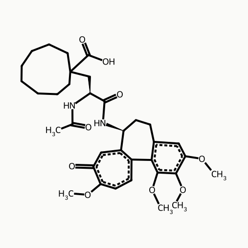 COc1cc2c(c(OC)c1OC)-c1ccc(OC)c(=O)cc1[C@@H](NC(=O)[C@H](CC1(C(=O)O)CCCCCCCC1)NC(C)=O)CC2